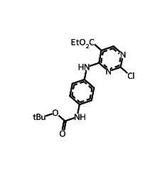 CCOC(=O)c1cnc(Cl)nc1Nc1ccc(NC(=O)OC(C)(C)C)cc1